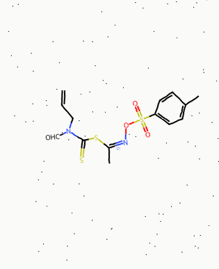 C=CCN(C=O)C(=S)S/C(C)=N\OS(=O)(=O)c1ccc(C)cc1